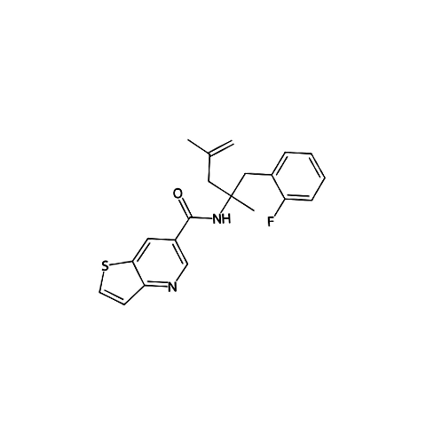 C=C(C)CC(C)(Cc1ccccc1F)NC(=O)c1cnc2ccsc2c1